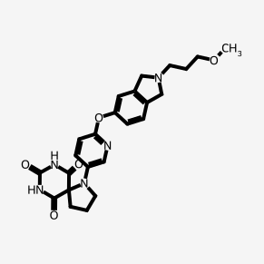 COCCCN1Cc2ccc(Oc3ccc(N4CCCC45C(=O)NC(=O)NC5=O)cn3)cc2C1